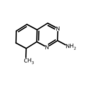 CC1CC=Cc2cnc(N)nc21